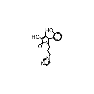 CC1=C(O)C(=O)N(CCCn2ccnc2)C1c1ccccc1O